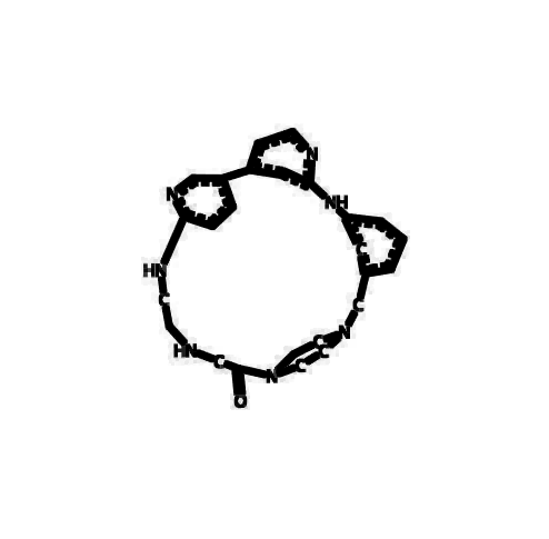 O=C1CNCCNc2ccc(cn2)-c2ccnc(c2)Nc2cccc(c2)CN2CCN1CC2